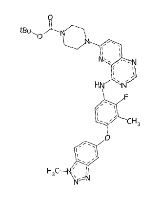 Cc1c(Oc2ccc3c(c2)nnn3C)ccc(Nc2ncnc3ccc(N4CCN(C(=O)OC(C)(C)C)CC4)nc23)c1F